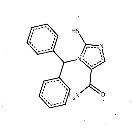 NC(=O)c1cnc(S)n1C(c1ccccc1)c1ccccc1